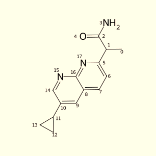 CC(C(N)=O)c1ccc2cc(C3CC3)cnc2n1